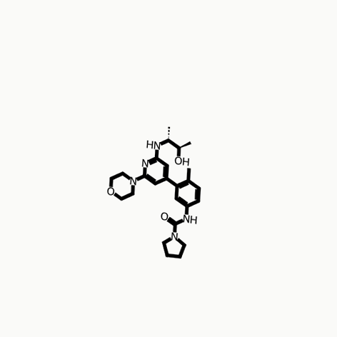 Cc1ccc(NC(=O)N2CCCC2)cc1-c1cc(N[C@H](C)[C@@H](C)O)nc(N2CCOCC2)c1